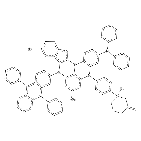 C=C1CCCC(CC)(c2ccc(N3c4cc(N(c5ccccc5)c5ccccc5)ccc4B4c5sc6ccc(C(C)(C)C)cc6c5N(c5ccc6c(-c7ccccc7)c7ccccc7c(-c7ccccc7)c6c5)c5cc(C(C)(C)C)cc3c54)cc2)C1